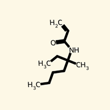 C=CC(=O)NC(C)(CC)CCCC